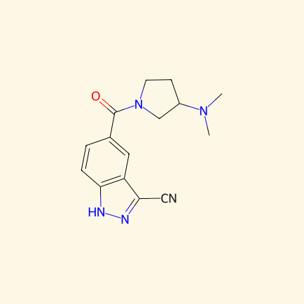 CN(C)C1CCN(C(=O)c2ccc3[nH]nc(C#N)c3c2)C1